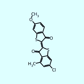 COc1ccc2c(c1)S/C(=C1/Sc3cc(Cl)cc(C)c3C1=O)C2=O